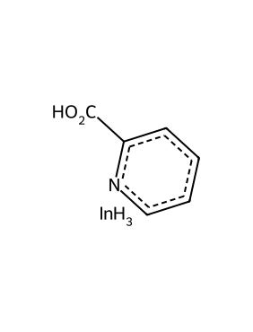 O=C(O)c1ccccn1.[InH3]